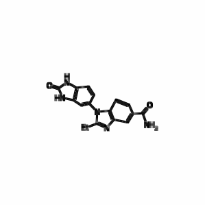 CCc1nc2cc(C(N)=O)ccc2n1-c1ccc2[nH]c(=O)[nH]c2c1